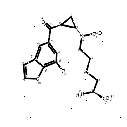 N[C@@H](CCCCN(C=O)[C@H]1C[C@@H]1C(=O)c1cc(Cl)c2occc2c1)C(=O)O